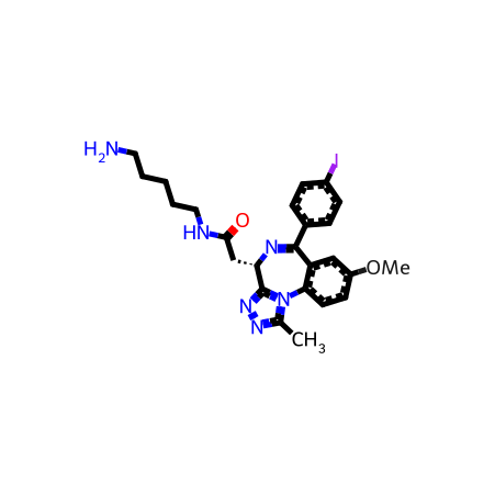 COc1ccc2c(c1)C(c1ccc(I)cc1)=N[C@@H](CC(=O)NCCCCCN)c1nnc(C)n1-2